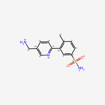 Cc1ccc(S(N)(=O)=O)cc1-c1ccc(CN)cn1